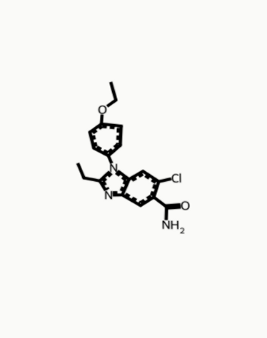 CCOc1ccc(-n2c(CC)nc3cc(C(N)=O)c(Cl)cc32)cc1